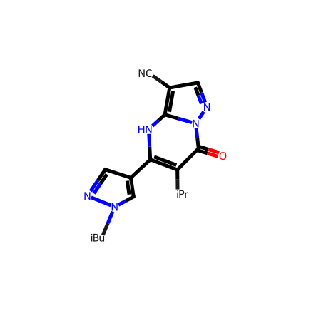 CCC(C)n1cc(-c2[nH]c3c(C#N)cnn3c(=O)c2C(C)C)cn1